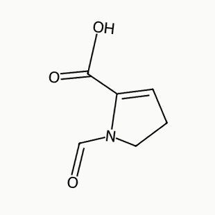 O=CN1CCC=C1C(=O)O